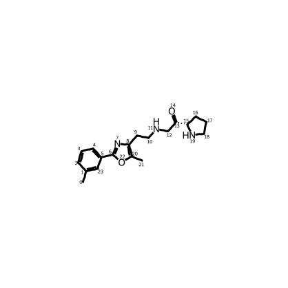 Cc1cccc(-c2nc(CCNCC(=O)[C@@H]3CCCN3)c(C)o2)c1